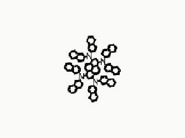 c1ccc2cc(N(c3ccc4ccccc4c3)c3cc(N(c4ccc5ccccc5c4)c4ccc5ccccc5c4)c4ccc5c(N(c6ccc7ccccc7c6)c6ccc7ccccc7c6)cc(N(c6ccc7ccccc7c6)c6ccc7ccccc7c6)c6ccc3c4c65)ccc2c1